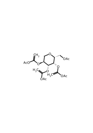 C=C(OC(C)=O)O[C@@H]1[C@H](OC(=C)OC(C)=O)[C@@H](OC(=C)OC(C)=O)[CH]O[C@@H]1COC(C)=O